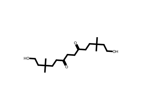 CC(C)(CCO)CCC(=O)CCC(=O)CCC(C)(C)CCO